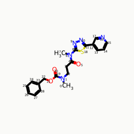 CN(CCC(=O)N(C)c1nnc(-c2cccnc2)s1)C(=O)OCc1ccccc1